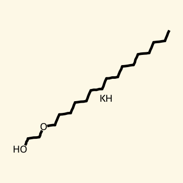 CCCCCCCCCCCCCCCCOCCO.[KH]